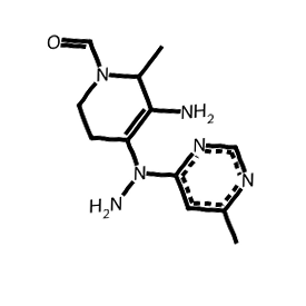 Cc1cc(N(N)C2=C(N)C(C)N(C=O)CC2)ncn1